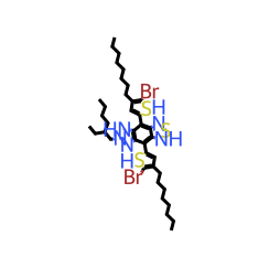 CCCCCCCCc1cc(-c2c3[nH]s[nH]c3c(-c3cc(CCCCCCCC)c(Br)s3)c3[nH]n(CC(CC)CCCC)[nH]c23)sc1Br